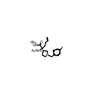 C=CCCC(NC(C)=O)(C(=O)NC(C)(C)C)[C@@H]1CCN(Cc2ccc(F)cc2)C1